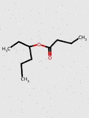 CCCC(=O)OC(CC)CCC